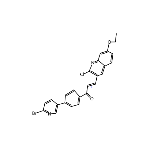 CCOc1ccc2cc(/C=C/C(=O)c3ccc(-c4ccc(Br)nc4)cc3)c(Cl)nc2c1